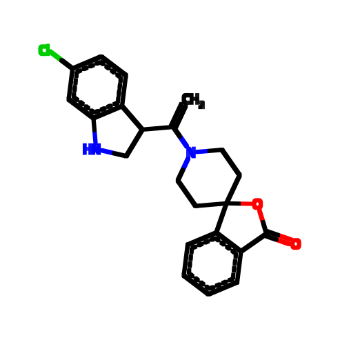 C=C(C1CNc2cc(Cl)ccc21)N1CCC2(CC1)OC(=O)c1ccccc12